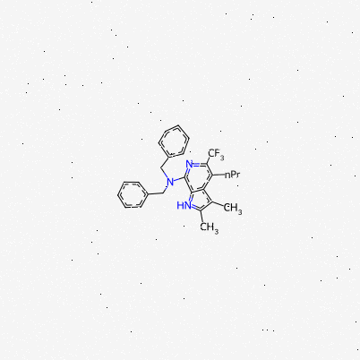 CCCc1c(C(F)(F)F)nc(N(Cc2ccccc2)Cc2ccccc2)c2[nH]c(C)c(C)c12